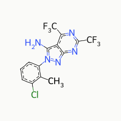 Cc1c(Cl)cccc1-n1nc2nc(C(F)(F)F)nc(C(F)(F)F)c2c1N